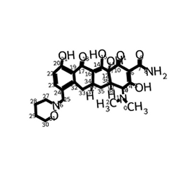 CN(C)[C@@H]1C(O)=C(C(N)=O)C(=O)[C@@]2(O)C(O)=C3C(=O)c4c(O)ccc(CN5CCCCO5)c4C[C@H]3C[C@@H]12